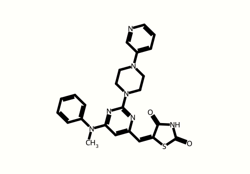 CN(c1ccccc1)c1cc(/C=C2/SC(=O)NC2=O)nc(N2CCN(c3cccnc3)CC2)n1